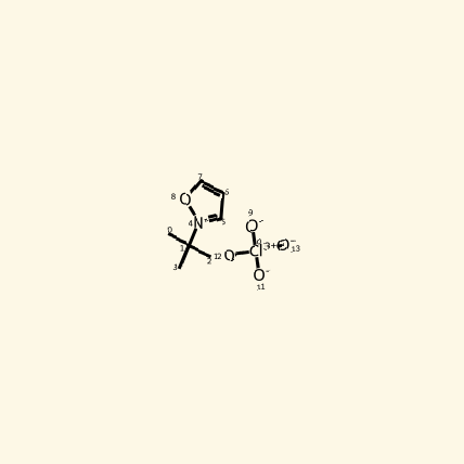 CC(C)(C)[n+]1ccco1.[O-][Cl+3]([O-])([O-])[O-]